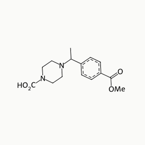 COC(=O)c1ccc(C(C)N2CCN(C(=O)O)CC2)cc1